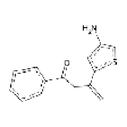 C=C(CC(=O)c1ccccc1)c1cc(N)cs1